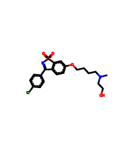 CN(CCO)CCCCOc1ccc2c(c1)S(=O)(=O)N=C2c1ccc(Cl)cc1